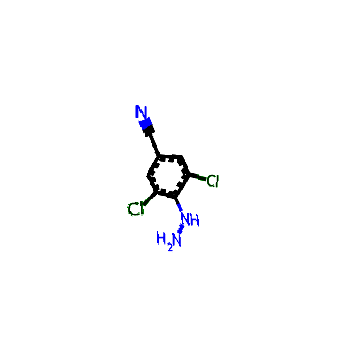 N#Cc1cc(Cl)c(NN)c(Cl)c1